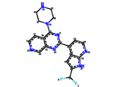 FC(F)c1cc2c(-c3nc(N4CCNCC4)c4ccncc4n3)ccnc2[nH]1